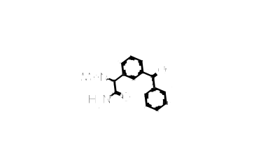 CNC(C(N)=O)c1cccc(C(=O)c2ccccc2)c1